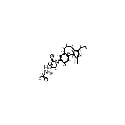 CCc1n[nH]c2c1CCCc1cc(N3C[C@H](CNC(C)=O)OC3=O)ccc1-2